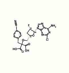 N#Cc1ccc(CC(OC[C@@H]2C[C@H](F)[C@H](n3cnc4c(N)nc(Cl)nc43)O2)(C(=O)O)C(=O)O)cc1